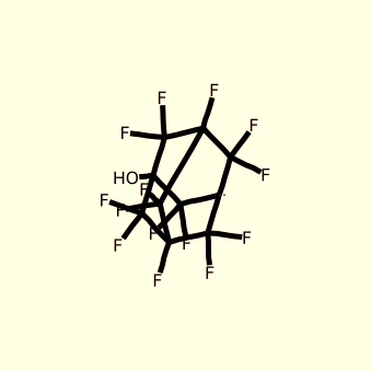 OC12C(F)(F)[C]3C(F)(F)C(F)(C1(F)F)C(F)(F)C(F)(C3(F)F)C2(F)F